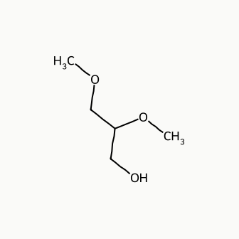 COCC(CO)OC